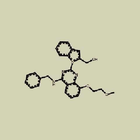 COCCOc1cccc2c(NCc3ccccc3)nc(-n3c(CO)cc4ccccc43)nc12